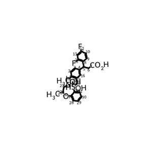 Cc1ccc(C(CC(=O)O)c2ccc(F)cc2F)cc1C[SH]1(O)(O)NC[C@@H](C)Oc2ccccc21